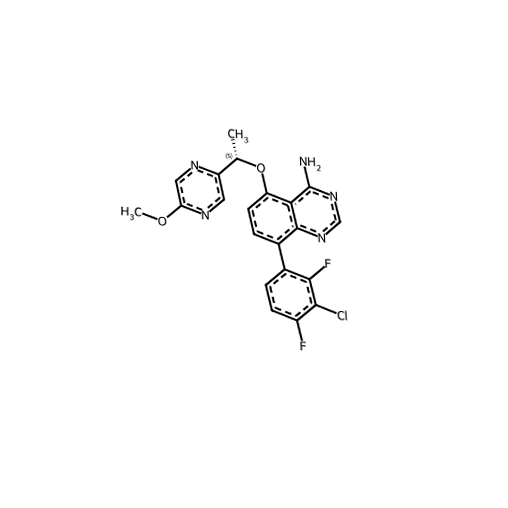 COc1cnc([C@H](C)Oc2ccc(-c3ccc(F)c(Cl)c3F)c3ncnc(N)c23)cn1